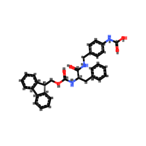 O=C(O)Nc1ccc(CNC(=O)C(Cc2ccccc2)NC(=O)OCC2c3ccccc3-c3ccccc32)cc1